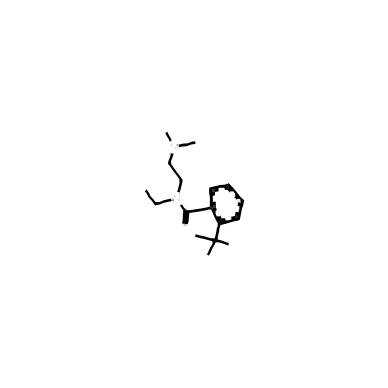 CCN(CCN(C)C)C(=O)c1ccccc1C(C)(C)C